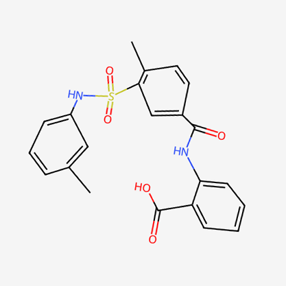 Cc1cccc(NS(=O)(=O)c2cc(C(=O)Nc3ccccc3C(=O)O)ccc2C)c1